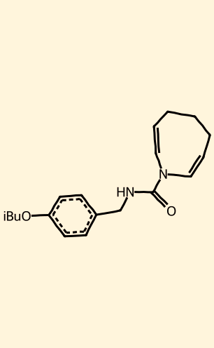 CC(C)COc1ccc(CNC(=O)N2/C=C\CCC/C=C\2)cc1